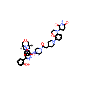 Nc1nnc(-c2ccccc2O)cc1N1C[C@H]2COC[C@@H](C1)N2c1cccc(OC2CCN(C(=O)CC3CCN(c4cccc5c4OCCN5C4CCC(=O)NC4=O)CC3)CC2)c1